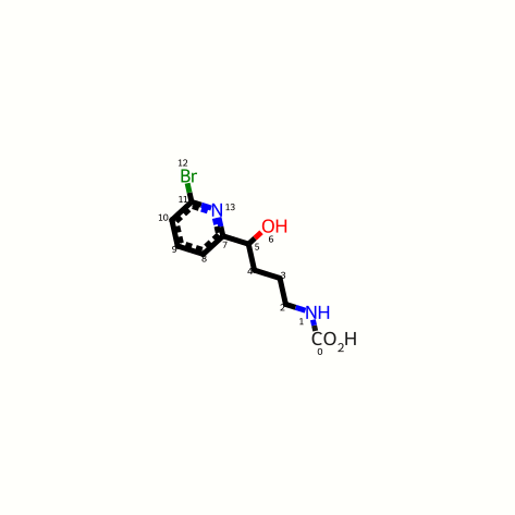 O=C(O)NCCCC(O)c1cccc(Br)n1